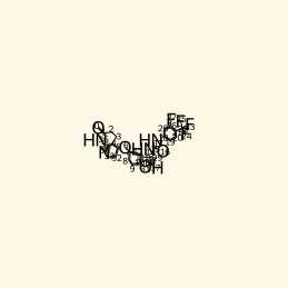 O=C1CCc2c(Oc3ccc4c(c3)C3(NC(=O)Nc5ccc(C(F)(F)F)c(F)c5)C[C@@H]3O4)ccnc2N1